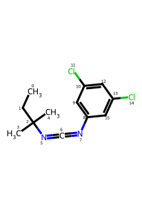 CCC(C)(C)N=C=Nc1cc(Cl)cc(Cl)c1